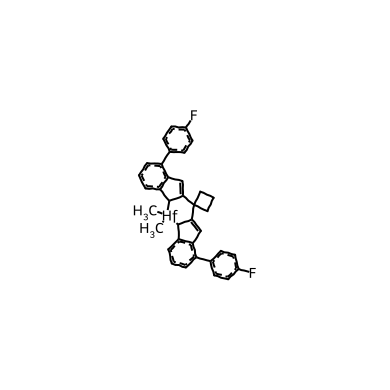 [CH3][Hf]1([CH3])[CH]2C(=Cc3c(-c4ccc(F)cc4)cccc32)C2(CCC2)C2=Cc3c(-c4ccc(F)cc4)cccc3[CH]21